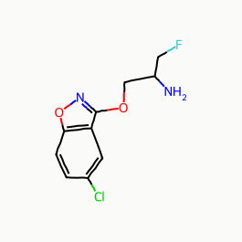 NC(CF)COc1noc2ccc(Cl)cc12